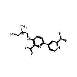 CC(C)C[C@@H](C)COc1ccc(-c2ccnc(C(F)F)c2)nc1C(F)F